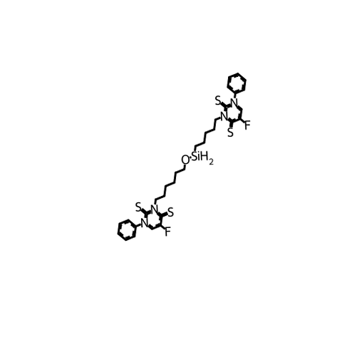 Fc1cn(-c2ccccc2)c(=S)n(CCCCCCO[SiH2]CCCCCn2c(=S)c(F)cn(-c3ccccc3)c2=S)c1=S